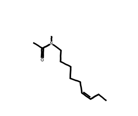 CC/C=C\CCCCCN(C)C(C)=O